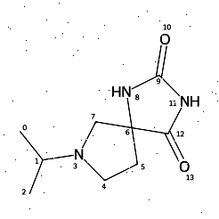 CC(C)N1CCC2(C1)NC(=O)NC2=O